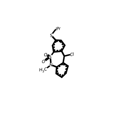 CC(C)Sc1ccc2c(c1)S(=O)(=O)N(C)c1ccccc1C2Cl